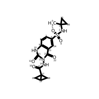 CC1(NS(=O)(=O)c2ccc3[nH]c(=O)n(NC(=O)C45CC4C5)c(=O)c3c2)CC1